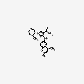 CC1=CB(O)Oc2ccc(Nc3nn([C@H]4COCC[C@@H]4C)cc3C(N)=O)cc21